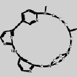 CC1CCCN(C)c2ccc(cn2)-c2ccnc(n2)Nc2ccnc(c2)CN2CCN(CC1)CC2